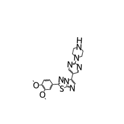 COc1ccc(-c2nn3c(-c4cnc(N5CCNCC5)nc4)cnc3s2)cc1OC